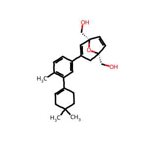 Cc1ccc(C2=C[C@@]3(CO)C=C[C@@](CO)(C2)O3)cc1C1=CCC(C)(C)CC1